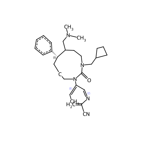 C=C(C#N)/N=C\C(=C/C)N1CCC[C@H](c2ccccc2)C(CN(C)C)CCN(CC2CCC2)C1=O